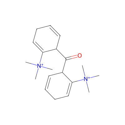 C[N+](C)(C)C1=CCC=CC1C(=O)C1C=CCC=C1[N+](C)(C)C